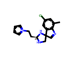 Cc1cc(Cl)cc2c1N=CC21CN[C@@H](CCn2cccc2)N1